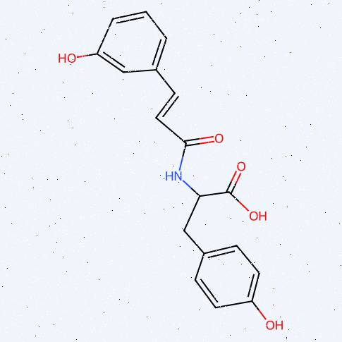 O=C(C=Cc1cccc(O)c1)NC(Cc1ccc(O)cc1)C(=O)O